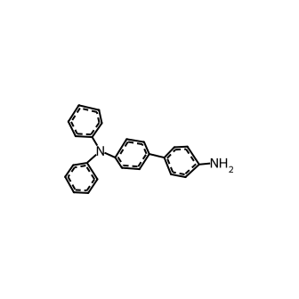 Nc1ccc(-c2ccc(N(c3ccccc3)c3ccccc3)cc2)cc1